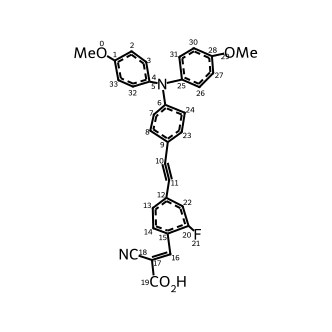 COc1ccc(N(c2ccc(C#Cc3ccc(/C=C(\C#N)C(=O)O)c(F)c3)cc2)c2ccc(OC)cc2)cc1